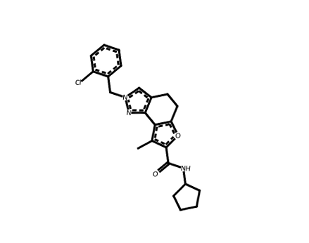 Cc1c(C(=O)NC2CCCC2)oc2c1-c1nn(Cc3ccccc3Cl)cc1CC2